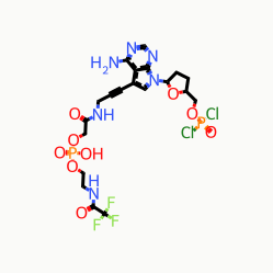 Nc1ncnc2c1c(C#CCNC(=O)COP(=O)(O)OCCNC(=O)C(F)(F)F)cn2C1CCC(COP(=O)(Cl)Cl)O1